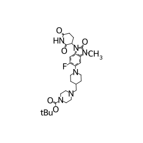 Cn1c(=O)n(C2CCC(=O)NC2=O)c2cc(F)c(N3CCC(CN4CCN(C(=O)OC(C)(C)C)CC4)CC3)cc21